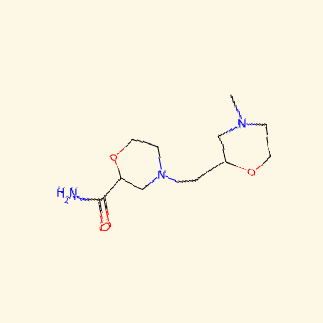 CN1CCOC(CN2CCOC(C(N)=O)C2)C1